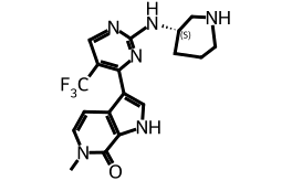 Cn1ccc2c(-c3nc(N[C@H]4CCCNC4)ncc3C(F)(F)F)c[nH]c2c1=O